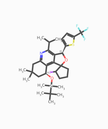 CC(C)c1nc2c(c3c1[C@@H](c1ccc(C(F)(F)F)s1)OC31CCCC1I)[C@@H](O[Si](C)(C)C(C)(C)C)CC(C)(C)C2